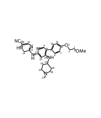 COCCOc1ccc(-c2cnc(NC3=NC=C(C#N)NC3)cc2NC2CCN(C)CC2)cc1